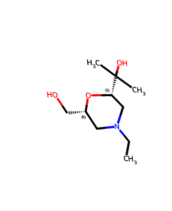 CCN1C[C@H](CO)O[C@H](C(C)(C)O)C1